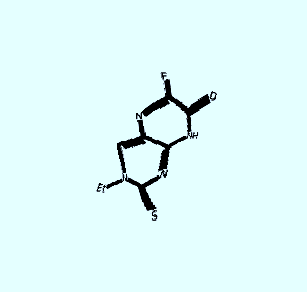 CCn1cc2nc(F)c(=O)[nH]c2nc1=S